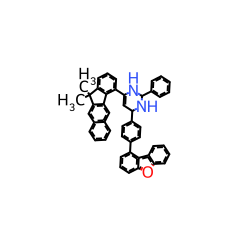 CC1(C)c2cc3ccccc3cc2-c2c(C3=CC(c4ccc(-c5cccc6oc7ccccc7c56)cc4)NC(c4ccccc4)N3)cccc21